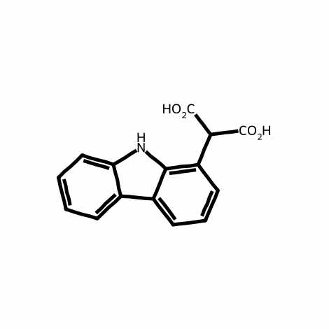 O=C(O)C(C(=O)O)c1cccc2c1[nH]c1ccccc12